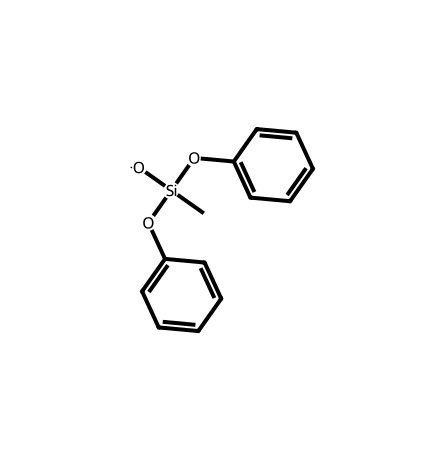 C[Si]([O])(Oc1ccccc1)Oc1ccccc1